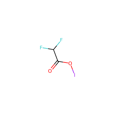 O=C(OI)C(F)F